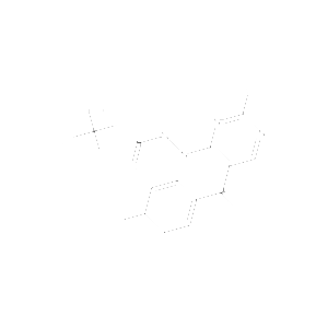 CC(C)(C)OC(=O)NNc1nc(Cl)ncc1C(=O)c1ccc(F)cc1